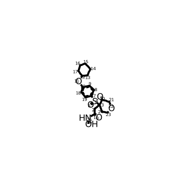 O=C(CC1(S(=O)(=O)c2ccc(OC3CCCCC3)cc2)CCOCC1)NO